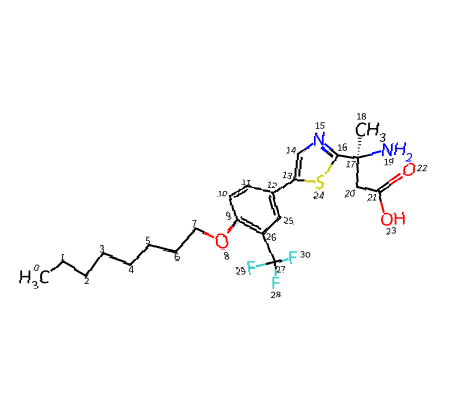 CCCCCCCCOc1ccc(-c2cnc([C@@](C)(N)CC(=O)O)s2)cc1C(F)(F)F